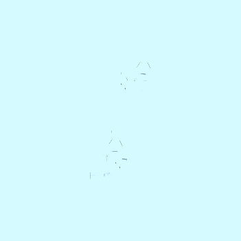 O=C(c1ccc(OCCCCC2CCN(C(=O)[C@H](c3ccccc3)C(F)(F)F)CC2)cc1Cl)N1CC[C@@H](O)C1